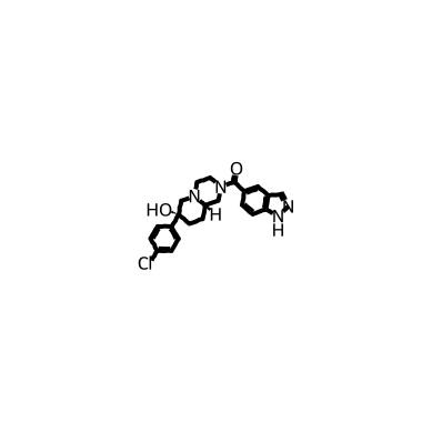 O=C(c1ccc2[nH]ncc2c1)N1CCN2C[C@](O)(c3ccc(Cl)cc3)CC[C@H]2C1